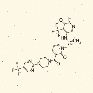 C[C@@H](Cn1cccc(C(=O)N2CCN(c3ncc(C(F)(F)F)cn3)CC2)c1=O)Nc1cn[nH]c(=O)c1C(F)(F)F